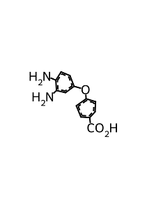 Nc1ccc(Oc2ccc(C(=O)O)cc2)cc1N